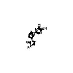 CC(C)N1CCN(C2CC3CC2N(c2cnc(C#N)c(Cl)n2)C3)C1=O